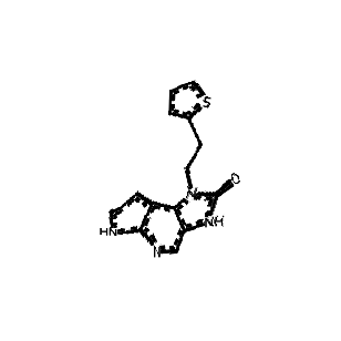 O=c1[nH]c2cnc3[nH]ccc3c2n1CCc1cccs1